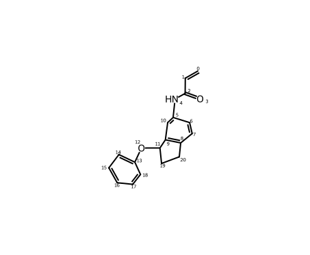 C=CC(=O)Nc1ccc2c(c1)C(Oc1ccccc1)CC2